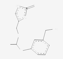 CCc1cccc(OC(C)SCc2c[nH]c(=S)[nH]2)c1